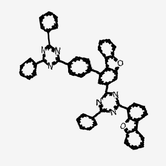 c1ccc(-c2nc(-c3ccccc3)nc(-c3ccc(-c4cc(-c5nc(-c6ccccc6)nc(-c6cccc7c6oc6ccccc67)n5)cc5oc6ccccc6c45)cc3)n2)cc1